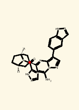 Nc1cc([C@H]2C[C@H]3CC[C@@H](C2)N3C(=O)c2ncn[nH]2)nc2c(-c3ccc4[nH]ncc4c3)cnn12